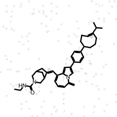 C=C1C=CC=C(/C=C2/CC3CC2CN(C(=O)NCC)C3)c2cc(-c3ccc(C4CC/C=C(\C(C)C)CCC4)cc3)cn21